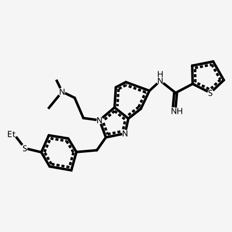 CCSc1ccc(Cc2nc3cc(NC(=N)c4cccs4)ccc3n2CCN(C)C)cc1